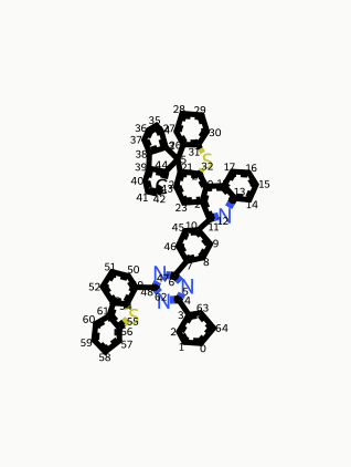 c1ccc(-c2nc(-c3ccc(-c4nc5ccccc5c5c6c(ccc45)C4(c5ccccc5S6)c5ccccc5-c5ccccc54)cc3)nc(-c3cccc4c3sc3ccccc34)n2)cc1